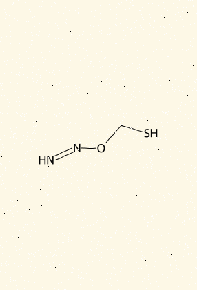 N=NOCS